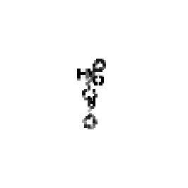 O=C(CC1CCN(CCc2ccccc2)CC1)Nc1ccccc1